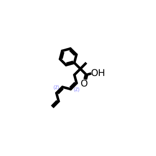 C=C/C=C\C=C/CC(C)(C(=O)O)c1ccccc1